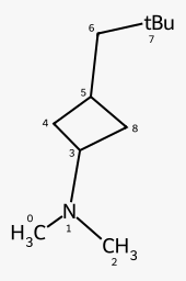 CN(C)C1CC(CC(C)(C)C)C1